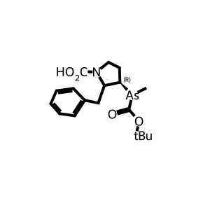 C[As](C(=O)OC(C)(C)C)[C@@H]1CCN(C(=O)O)C1Cc1ccccc1